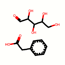 O=C(O)Cc1ccccc1.O=CC(O)C(O)C(O)CO